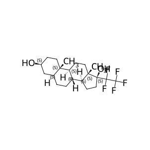 C[C@]12CC[C@H](O)C[C@@H]1CC[C@@H]1[C@@H]2CC[C@@]2(C)[C@H]1CC[C@@]2(O)C(F)(F)C(F)(F)F